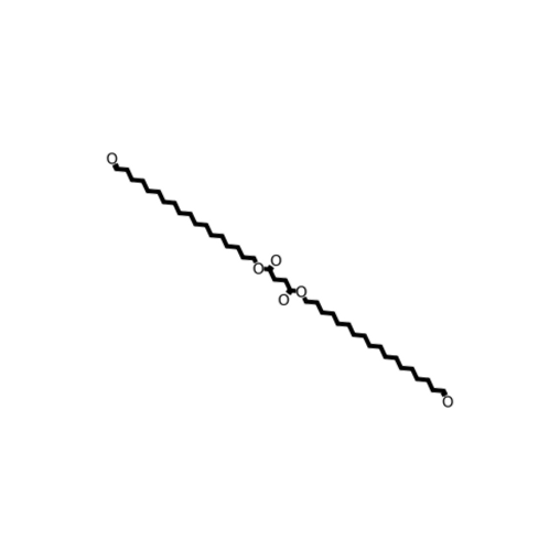 O=CCCCCCCCCCCCCCCCCCOC(=O)CCC(=O)OCCCCCCCCCCCCCCCCCC=O